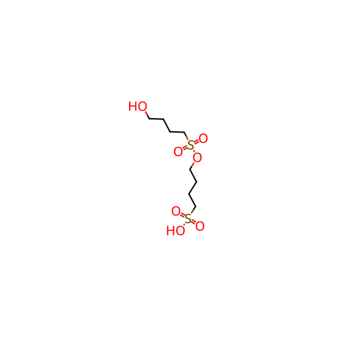 O=S(=O)(O)CCCCOS(=O)(=O)CCCCO